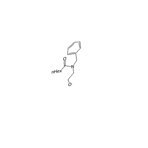 CCCCCCC(=O)N(CC[O])Cc1ccccc1